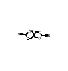 N#CC1OCC2(CO1)COC(C#N)OC2